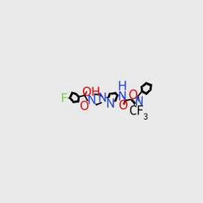 O=C(Nc1ccc(N2CCN(C(=O)C(O)c3ccc(F)cc3)CC2)nc1)c1oc(-c2ccccc2)nc1C(F)(F)F